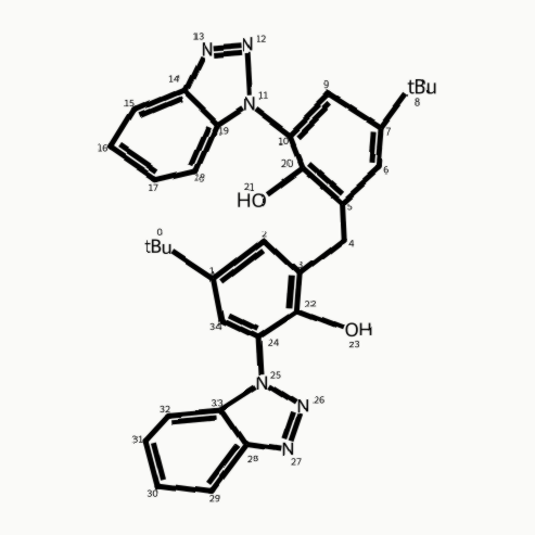 CC(C)(C)c1cc(Cc2cc(C(C)(C)C)cc(-n3nnc4ccccc43)c2O)c(O)c(-n2nnc3ccccc32)c1